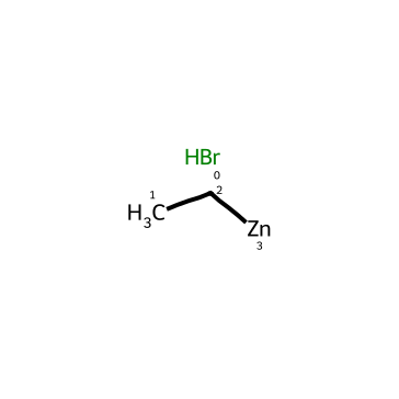 Br.C[CH2][Zn]